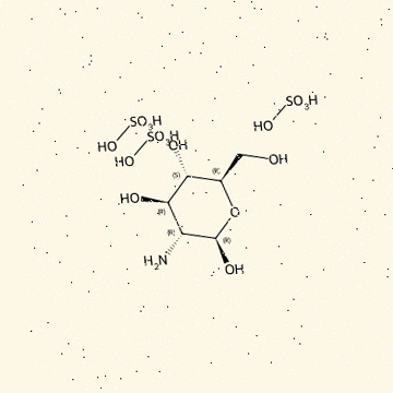 N[C@@H]1[C@@H](O)[C@H](O)[C@@H](CO)O[C@H]1O.O=S(=O)(O)O.O=S(=O)(O)O.O=S(=O)(O)O